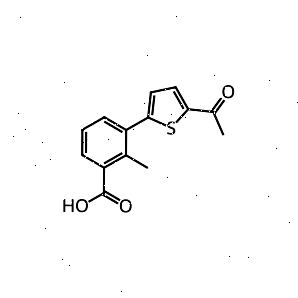 CC(=O)c1ccc(-c2cccc(C(=O)O)c2C)s1